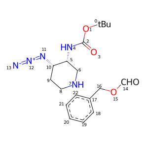 CC(C)(C)OC(=O)N[C@@H]1CNCC[C@@H]1N=[N+]=[N-].O=COCc1ccccc1